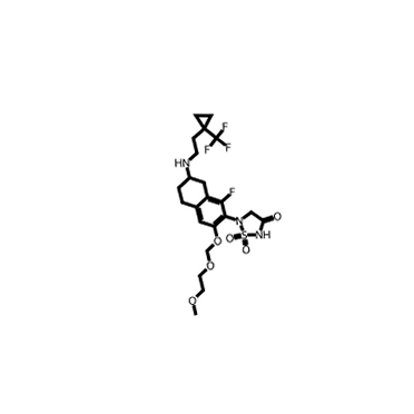 COCCOCOc1cc2c(c(F)c1N1CC(=O)NS1(=O)=O)CC(NCCC1(C(F)(F)F)CC1)CC2